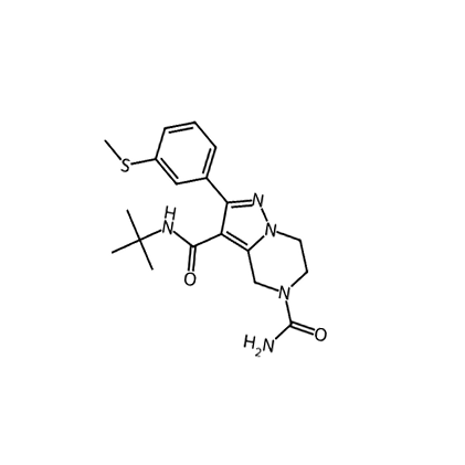 CSc1cccc(-c2nn3c(c2C(=O)NC(C)(C)C)CN(C(N)=O)CC3)c1